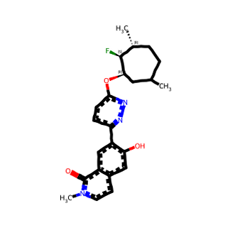 CC1CC[C@@H](C)[C@H](F)[C@H](Oc2ccc(-c3cc4c(=O)n(C)ccc4cc3O)nn2)C1